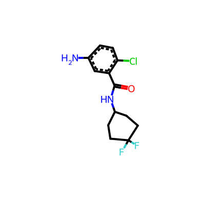 Nc1ccc(Cl)c(C(=O)NC2CCC(F)(F)CC2)c1